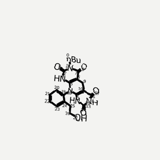 CCCCn1c(=O)[nH]c2c(c1=O)Cc1c([nH]c(=O)[nH]c1=O)N2c1ccccc1CCO